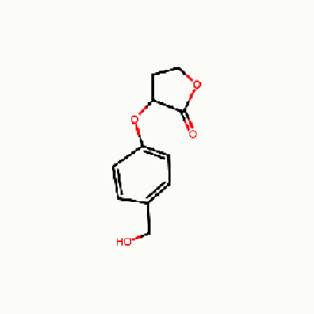 O=C1OCCC1Oc1ccc(CO)cc1